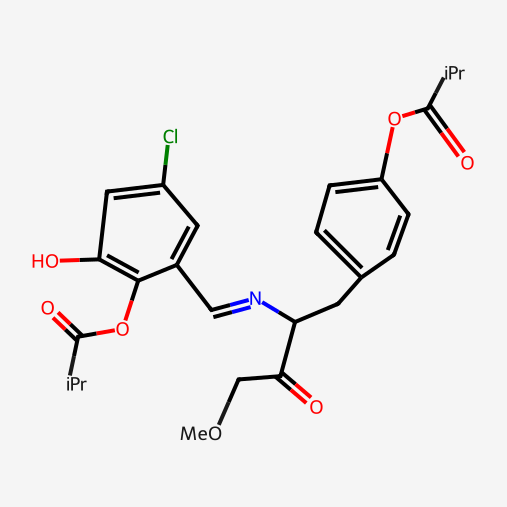 COCC(=O)C(Cc1ccc(OC(=O)C(C)C)cc1)N=Cc1cc(Cl)cc(O)c1OC(=O)C(C)C